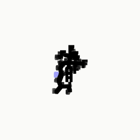 CCC(C)/C=C/C[C@H](C)C(O)(C(F)(F)F)C(F)(F)F